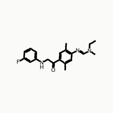 CCN(C)C=Nc1cc(C)c(C(=O)CNc2cccc(F)c2)cc1C